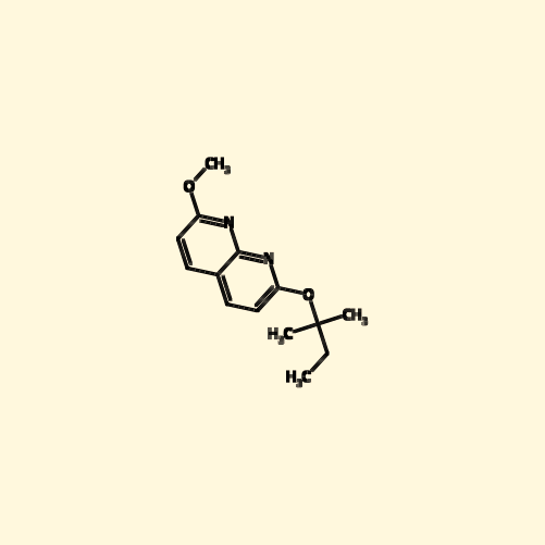 CCC(C)(C)Oc1ccc2ccc(OC)nc2n1